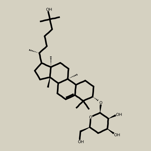 C[C@H](CCCC(C)(C)O)C1CC[C@@]2(C)C3CC=C4C(CC[C@H](O[C@@H]5O[C@H](CO)C[C@H](O)[C@@H]5O)C4(C)C)[C@]3(C)CC[C@]12C